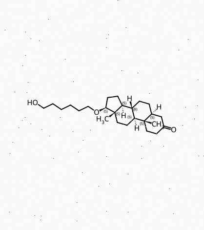 C[C@]12CCC(=O)C[C@@H]1CC[C@@H]1[C@@H]2CC[C@]2(C)[C@@H](OCCCCCCO)CC[C@@H]12